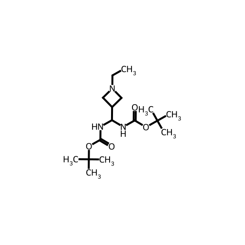 CCN1CC(C(NC(=O)OC(C)(C)C)NC(=O)OC(C)(C)C)C1